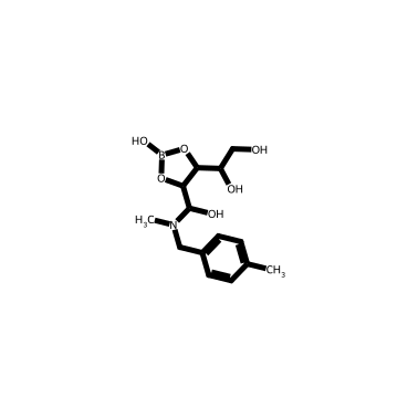 Cc1ccc(CN(C)C(O)C2OB(O)OC2C(O)CO)cc1